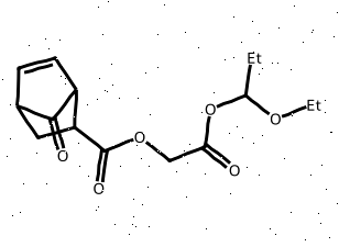 CCOC(CC)OC(=O)COC(=O)C1CC2C=CC1C2=O